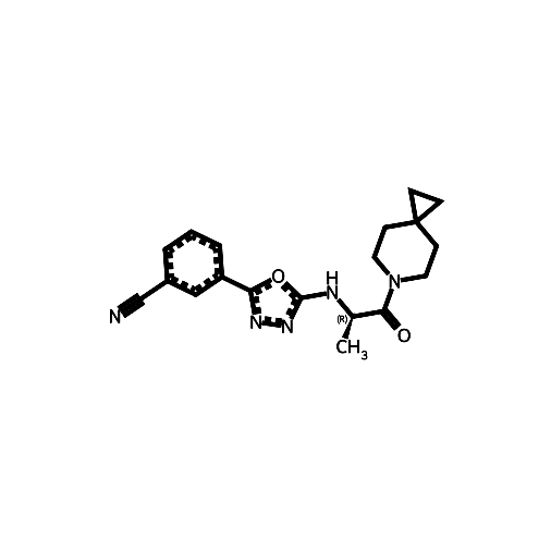 C[C@@H](Nc1nnc(-c2cccc(C#N)c2)o1)C(=O)N1CCC2(CC1)CC2